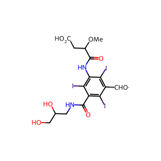 COC(CC(=O)O)C(=O)Nc1c(I)c([C]=O)c(I)c(C(=O)NCC(O)CO)c1I